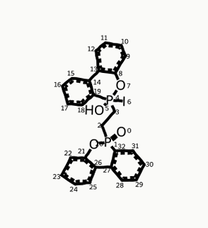 O=P1(CCP2(O)(I)Oc3ccccc3-c3ccccc32)Oc2ccccc2-c2ccccc21